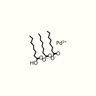 CCCCCCCC(=O)O.CCCCCCCC(=O)[O-].CCCCCCCC(=O)[O-].[Pd+2]